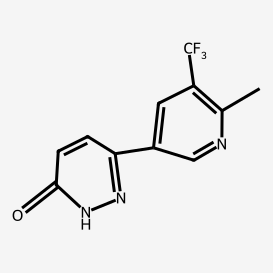 Cc1ncc(-c2ccc(=O)[nH]n2)cc1C(F)(F)F